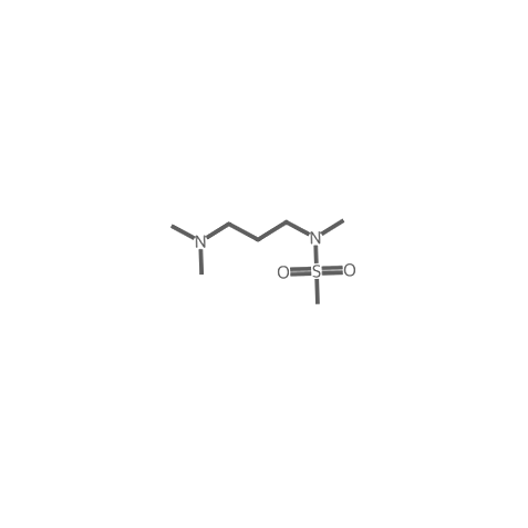 CN(C)CCCN(C)S(C)(=O)=O